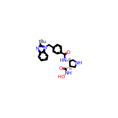 CC(C)(C)c1nc2ccccc2n1Cc1ccc(C(=O)N[C@@H]2CNC[C@@H]2C(=O)NO)cc1